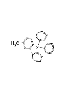 Cc1ccc2c(c1)-c1ccccc1[Si]2(c1ccccc1)c1ccccc1